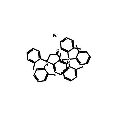 Cc1ccccc1[PH](CC(=O)O[PH](c1ccccc1C)(c1ccccc1C)c1ccccc1C)(c1ccccc1C)c1ccccc1C.[Pd]